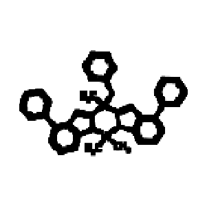 CC1(Cc2ccccc2)C2=Cc3c(-c4ccccc4)cccc3[CH]2[Hf]([CH3])([CH3])[CH]2C1=Cc1c(-c3ccccc3)cccc12